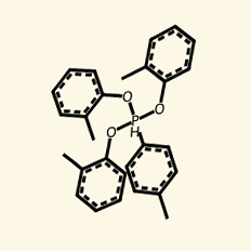 Cc1ccc([PH](Oc2ccccc2C)(Oc2ccccc2C)Oc2ccccc2C)cc1